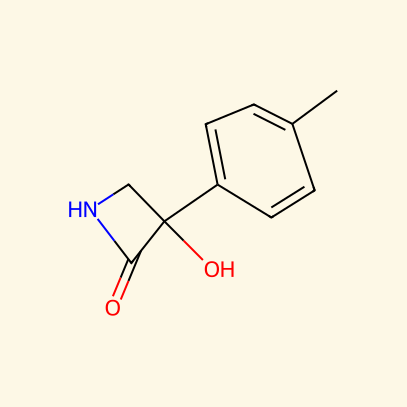 Cc1ccc(C2(O)CNC2=O)cc1